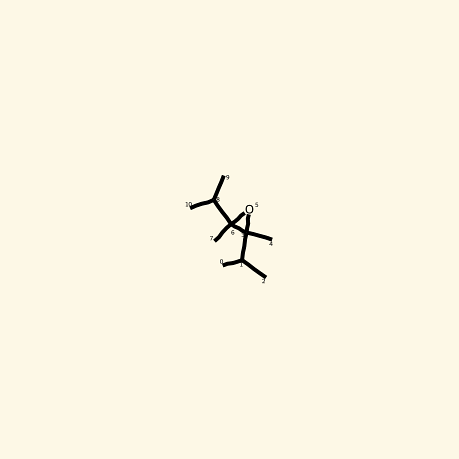 CC(C)C1(C)OC1(C)C(C)C